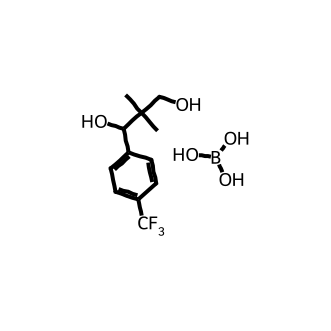 CC(C)(CO)C(O)c1ccc(C(F)(F)F)cc1.OB(O)O